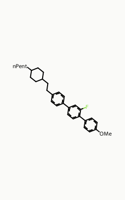 CCCCCC1CCC(CCc2ccc(-c3ccc(-c4ccc(OC)cc4)c(F)c3)cc2)CC1